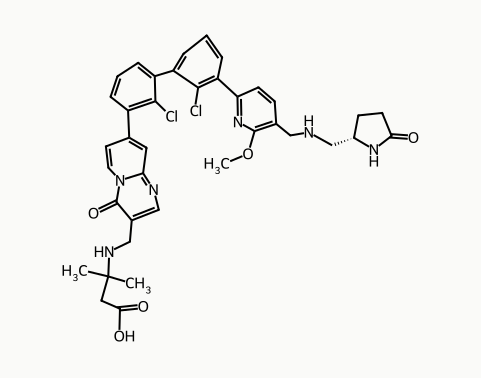 COc1nc(-c2cccc(-c3cccc(-c4ccn5c(=O)c(CNC(C)(C)CC(=O)O)cnc5c4)c3Cl)c2Cl)ccc1CNC[C@@H]1CCC(=O)N1